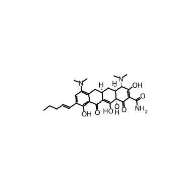 CCC/C=C/c1cc(N(C)C)c2c(c1O)C(=O)C1=C(O)[C@]3(O)C(=O)C(C(N)=O)=C(O)[C@@H](N(C)C)[C@@H]3C[C@@H]1C2